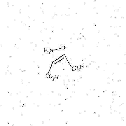 N[O].O=C(O)/C=C\C(=O)O